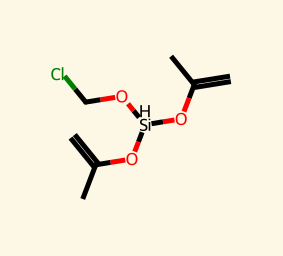 C=C(C)O[SiH](OCCl)OC(=C)C